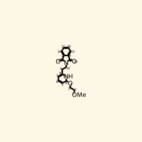 COCCOC1C=CC=C(CCN2C(=O)c3ccccc3C2=O)N1